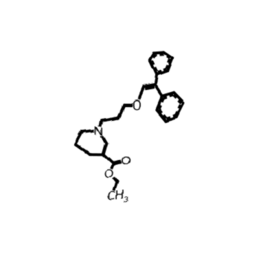 CCOC(=O)C1CCCN(CCCOC=C(c2ccccc2)c2ccccc2)C1